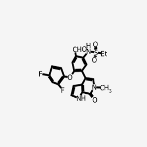 CCS(=O)(=O)Nc1cc(-c2cn(C)c(=O)c3[nH]ccc23)c(Oc2ccc(F)cc2F)cc1C=O